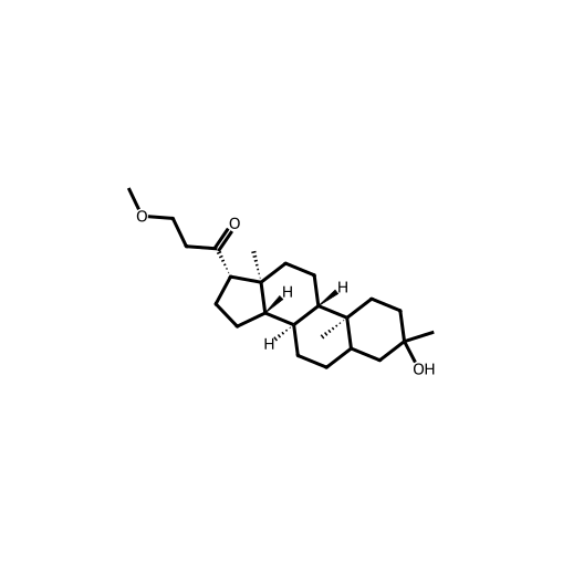 COCCC(=O)[C@H]1CC[C@H]2[C@@H]3CCC4CC(C)(O)CC[C@]4(C)[C@H]3CC[C@]12C